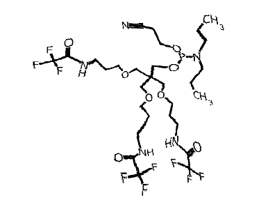 CCCN(CCC)P(OCCC#N)OCC(COCCCNC(=O)C(F)(F)F)(COCCCNC(=O)C(F)(F)F)COCCCNC(=O)C(F)(F)F